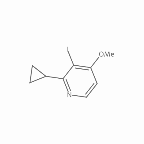 COc1ccnc(C2CC2)c1I